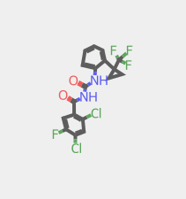 O=C(NC(=O)c1cc(F)c(Cl)cc1Cl)Nc1ccccc1C1(C(F)(F)F)CC1